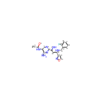 CC(C)C(=O)Nc1cnc(C(=N)/C=C(\NCc2ccccc2F)c2ccon2)nc1N